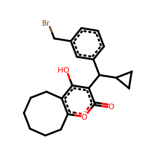 O=c1oc2c(c(O)c1C(c1cccc(CBr)c1)C1CC1)CCCCCC2